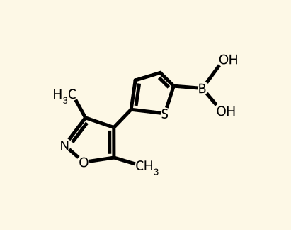 Cc1noc(C)c1-c1ccc(B(O)O)s1